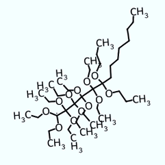 CCCCCCCCC(OCCC)(OCCC)C(OCC)(OCC)C(OCC)(OCC)C(OCC)(OCC)C(OCC)(OCC)[C](OCC)OCC